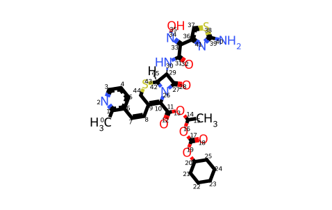 Cc1ncccc1/C=C\C1=C(C(=O)OC(C)OC(=O)OC2CCCCC2)N2C(=O)[C@@H](NC(=O)C(=NO)c3csc(N)n3)[C@@H]2SC1